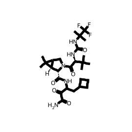 CC(C)(C)[C@H](NC(=O)NC(C)(C)C(F)(F)F)C(=O)N1CC2[C@@H]([C@H]1C(=O)NC(CC1CCC1)C(=O)C(N)=O)C2(C)C